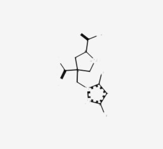 O=C(O)C1CC(Cn2nc(Br)cc2Br)(C(=O)O)CN1